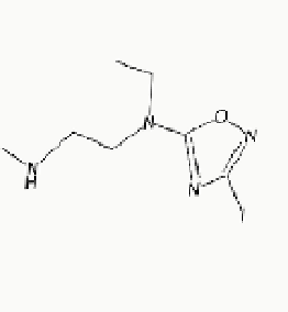 CCN(CCNC)c1nc(I)no1